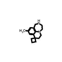 Cc1cc2c3c(c1)C1(CCC1)CCN3CCNC2